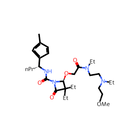 CCC[C@@H](NC(=O)N1C(=O)C(CC)(CC)[C@@H]1OCC(=O)N(CC)CCN(CC)CCOC)c1ccc(C)cc1